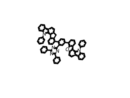 c1ccc(-c2nc(-c3ccccc3)nc(-c3cc(-c4cccc5c4oc4ccc6c7ccccc7n(-c7ccccc7)c6c45)ccc3-c3cccc4c3Cc3ccc5c6ccccc6n(-c6ccccc6)c5c3-4)n2)cc1